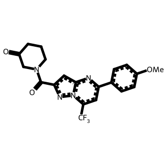 COc1ccc(-c2cc(C(F)(F)F)n3nc(C(=O)N4CCCC(=O)C4)cc3n2)cc1